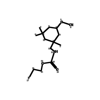 CC1(C)CC(OC#N)CC(C)(CNC(=O)OCCF)C1